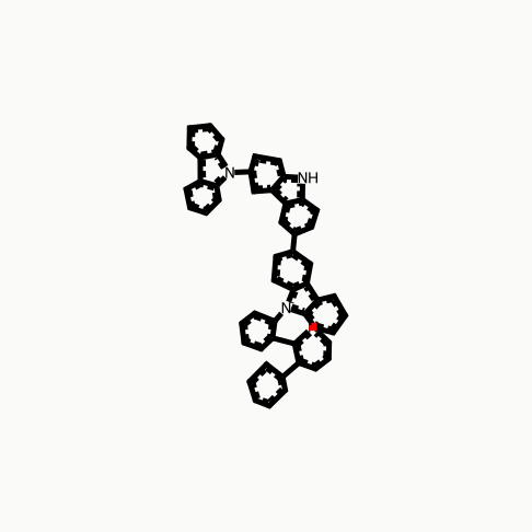 c1ccc(-c2cccnc2-c2ccccc2-n2c3ccccc3c3cc(-c4ccc5[nH]c6ccc(-n7c8ccccc8c8ccccc87)cc6c5c4)ccc32)cc1